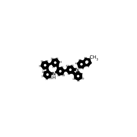 CC1C=Cc2cc(-n3c4ccccc4c4cc(-c5ccc6c(c5)-c5cccc(c5)-c5ccccc5-c5ccccc5N6)ccc43)ccc2C1